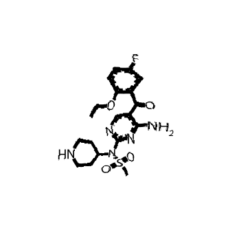 CCOc1ccc(F)cc1C(=O)c1cnc(N(C2CCNCC2)S(C)(=O)=O)nc1N